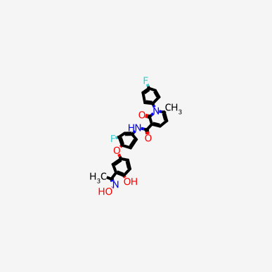 CC(=NO)c1cc(Oc2ccc(NC(=O)c3ccc(C)n(-c4ccc(F)cc4)c3=O)cc2F)ccc1O